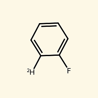 [2H]c1ccccc1F